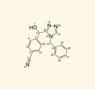 N#Cc1ccc(C(O)c2nncn2Cc2ccccc2)cc1